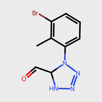 Cc1c(Br)cccc1N1N=NNC1C=O